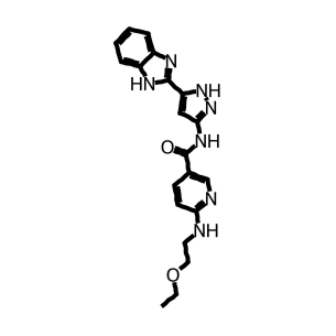 CCOCCNc1ccc(C(=O)Nc2cc(-c3nc4ccccc4[nH]3)[nH]n2)cn1